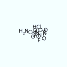 CN(Cc1ccccc1)C(=O)c1cccc(-n2c(=O)n([C@H]3CC[C@@H](N)CC3)c(=O)c3cc(F)cnc32)c1.Cl